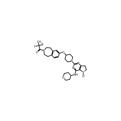 CC(F)(F)C(=O)N1CCc2ccc(OC3CCN(c4nc5c(c(NC6CCOCC6)n4)[S+]([O-])CC5)CC3)cc2CC1